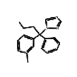 CCCC(c1ccccc1)(c1cccc(C)c1)n1cncn1